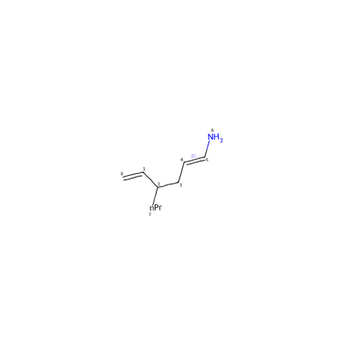 C=CC(C/C=C/N)CCC